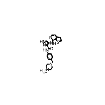 CN1CCN(Cc2ccc(NC(=O)c3n[nH]cc3Nc3nccc4ccsc34)cc2)CC1